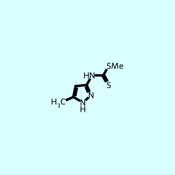 CSC(=S)Nc1cc(C)[nH]n1